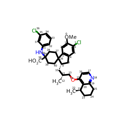 COc1cc2c(cc1Cl)C[C@H](C[C@@H](C)COc1ccnc3c1[C@H](C)CCC3)C21CCC(Nc2cccc(Cl)c2)(C(=O)O)CC1